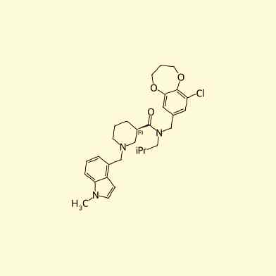 CC(C)CN(Cc1cc(Cl)c2c(c1)OCCCO2)C(=O)[C@@H]1CCCN(Cc2cccc3c2ccn3C)C1